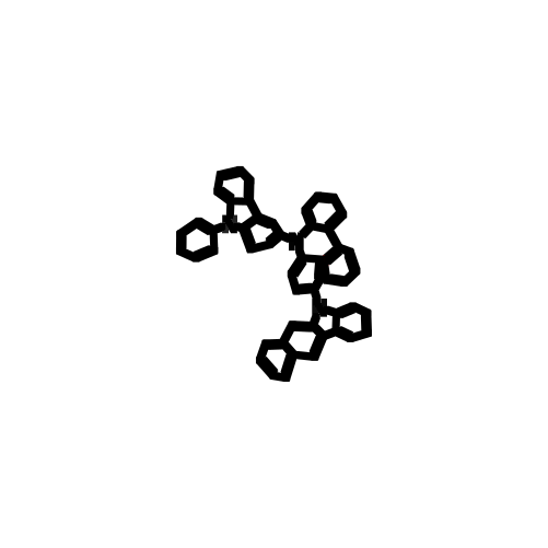 c1ccc(-c2ccccc2N(c2ccc(-n3c4ccccc4c4cc5ccccc5cc43)cc2)c2ccc3c(c2)c2ccccc2n3-c2ccccc2)cc1